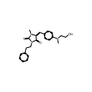 CN1C(=S)N(CCc2ccccc2)C(=O)C1=Cc1ccc(N(C)CCO)cc1